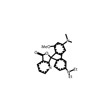 CCN(CC)c1ccc(C2(c3ccc(N(C)C)cc3OC)OC(=O)c3cccnc32)c(C)c1